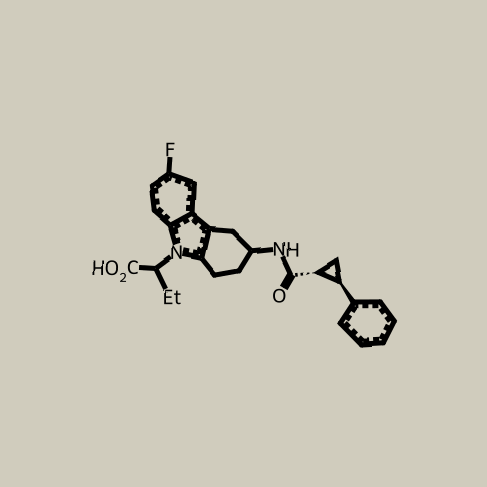 CCC(C(=O)O)n1c2c(c3cc(F)ccc31)CC(NC(=O)[C@@H]1C[C@H]1c1ccccc1)CC2